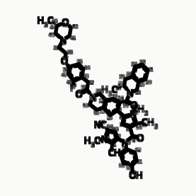 Cc1c(N(C(=O)c2cc(-c3cc4c(cc3C(=O)N3Cc5ccccc5C[C@H]3C)CN(C(=O)Cc3ccc(OCCN5CCO[C@@H](C)C5)cc3F)CC4)n(C)c2C)c2ccc(O)cc2)cc(C#N)n1C